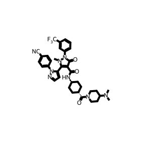 CN(C)C1CCN(C(=O)[C@H]2CC[C@H](NC(=O)c3c(-c4ccnn4-c4ccc(C#N)cc4)n(C)n(-c4cccc(C(F)(F)F)c4)c3=O)CC2)CC1